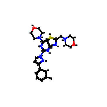 Cc1cccc(-c2ccn(-c3nc(N4CCOCC4)c4sc(CN5CCOCC5)nc4n3)n2)c1